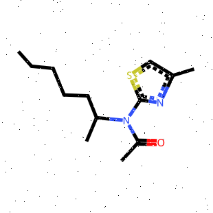 CCCCCC(C)N(C(C)=O)c1nc(C)cs1